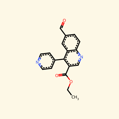 CCOC(=O)c1cnc2ccc(C=O)cc2c1-c1ccncc1